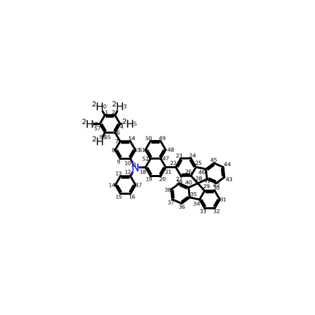 [2H]c1c([2H])c([2H])c(-c2ccc(N(c3ccccc3)c3ccc(-c4ccc5c(c4)C4(c6ccccc6-c6ccccc64)c4ccccc4-5)c4ccccc34)cc2)c([2H])c1[2H]